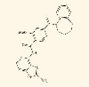 COc1cc(C(=O)N2CCCCc3cnccc32)ccc1C(=O)Nc1cccc2[nH]c(C)nc12